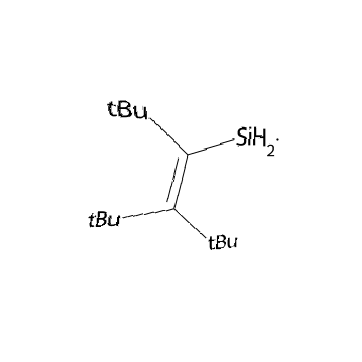 CC(C)(C)C([SiH2])=C(C(C)(C)C)C(C)(C)C